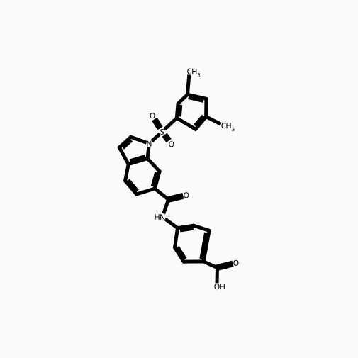 Cc1cc(C)cc(S(=O)(=O)n2ccc3ccc(C(=O)Nc4ccc(C(=O)O)cc4)cc32)c1